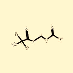 CCCC(=O)OCOC(=O)C(C)(CC)CCC